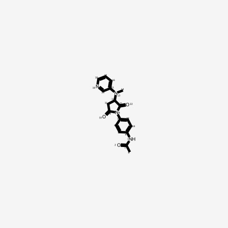 CC(=O)Nc1ccc(N2C(=O)CC(N(C)c3cccnc3)C2=O)cc1